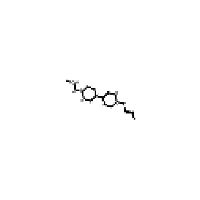 C/C=C/CC1CCC(C2CCC(COC)CC2)CC1